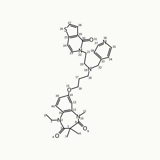 CCN1C(=O)C(C)(C)C(=O)N(C)c2cc(OCCCN(CCn3ccc4sccc4c3=O)Cc3ccncc3)ccc21